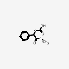 COC(=O)C(OC(=O)O)c1ccccc1